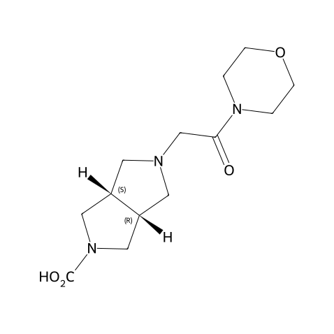 O=C(O)N1C[C@H]2CN(CC(=O)N3CCOCC3)C[C@H]2C1